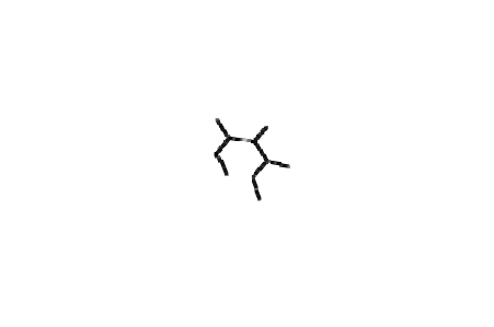 CCC(C)C(C)C(C)CC